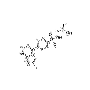 Cc1cc2c(-c3ccc(S(=O)(=O)NC[C@@H](C)O)cn3)ccnc2[nH]1